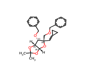 CC1(C)O[C@H]2O[C@](C=C3CC3)(COCc3ccccc3)[C@@H](OCc3ccccc3)[C@H]2O1